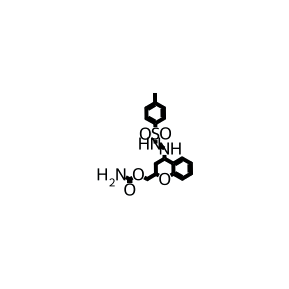 Cc1ccc(S(=O)(=O)NNC2CC(COC(N)=O)Oc3ccccc32)cc1